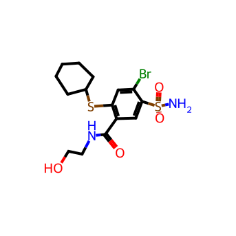 NS(=O)(=O)c1cc(C(=O)NCCO)c(SC2CCCCC2)cc1Br